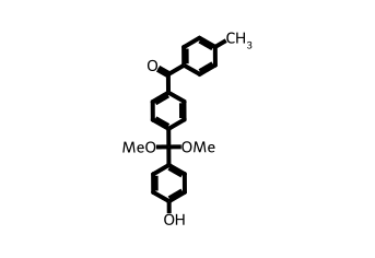 COC(OC)(c1ccc(O)cc1)c1ccc(C(=O)c2ccc(C)cc2)cc1